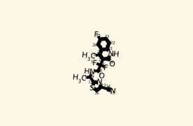 Cc1c(C(F)(F)C(=O)NC(C)c2nc(C#N)cs2)c(=O)[nH]c2ccc(F)cc12